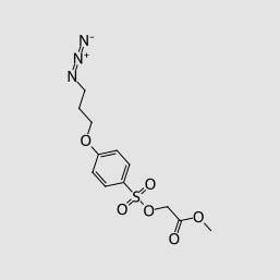 COC(=O)COS(=O)(=O)c1ccc(OCCCN=[N+]=[N-])cc1